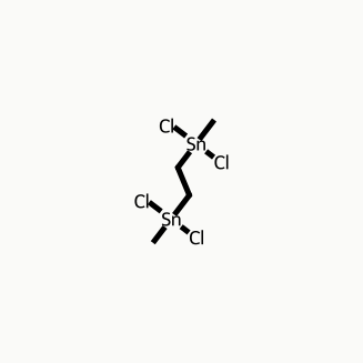 [CH3][Sn]([Cl])([Cl])[CH2][CH2][Sn]([CH3])([Cl])[Cl]